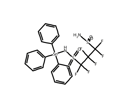 NS(=O)(=O)C(F)(F)C(F)(F)C(F)(F)S(=O)(=O)[NH][Sn]([c]1ccccc1)([c]1ccccc1)[c]1ccccc1